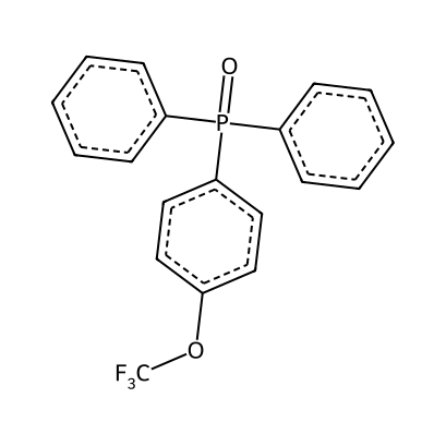 O=P(c1ccccc1)(c1ccccc1)c1ccc(OC(F)(F)F)cc1